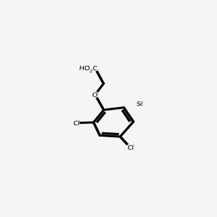 O=C(O)COc1ccc(Cl)cc1Cl.[Si]